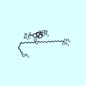 CC(C)C1=CC2=CCC3[C@](C)(C(=O)O)CCC[C@]3(C)[C@H]2CC1.CCCCC/C=C\C/C=C\CCCCCCCC(=O)OCCCCCCCCCCCCCCCC(C)C